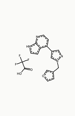 O=C(O)C(F)(F)F.c1cc(-c2cnn(Cc3ccoc3)c2)c2cc[nH]c2n1